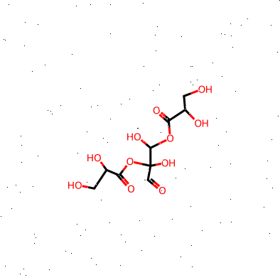 O=[C]C(O)(OC(=O)C(O)CO)C(O)OC(=O)C(O)CO